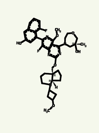 COc1nc(-c2cc(O)cc3cccc(F)c23)c(F)c2nc(OC[C@]34CCC[C@H]3N(C3CC(OC)C3)CCC4)nc(N3CCOC[C@@](C)(O)C3)c12